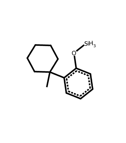 CC1(c2ccccc2O[SiH3])CCCCC1